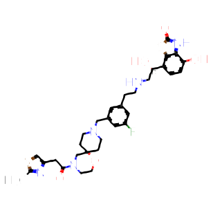 Cc1nc(CC(=O)N2CCOC3(CCN(Cc4cc(F)cc(CCNC[C@H](O)c5ccc(O)c6[nH]c(=O)sc56)c4)CC3)C2)cs1